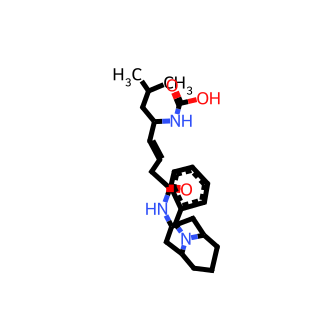 CC(C)CC(/C=C/CC(=O)NC1CC2CCCC(C1)N2Cc1ccccc1)NC(=O)O